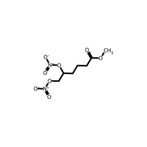 COC(=O)CCCC(CO[N+](=O)[O-])O[N+](=O)[O-]